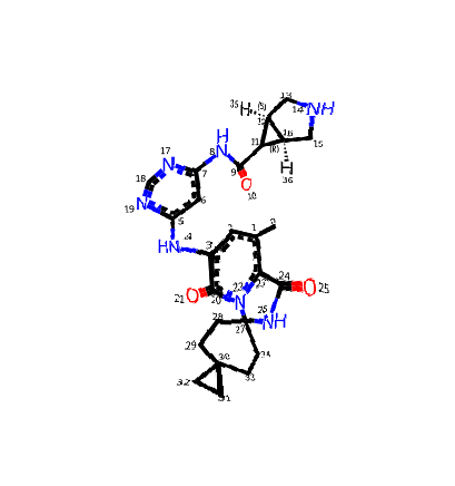 Cc1cc(Nc2cc(NC(=O)C3[C@H]4CNC[C@@H]34)ncn2)c(=O)n2c1C(=O)NC21CCC2(CC2)CC1